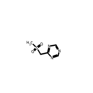 CS(=O)(=O)[CH]c1ncncn1